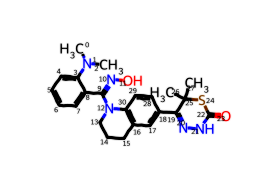 CN(C)c1ccccc1C(=NO)N1CCCc2cc(C3=NNC(=O)SC3(C)C)ccc21